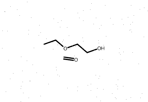 C=O.CCOCCO